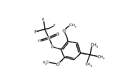 COc1cc(C(C)(C)C)cc(OC)c1OS(=O)(=O)C(F)(F)F